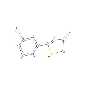 S=C1C=C(c2cc(Cl)ccn2)SC1